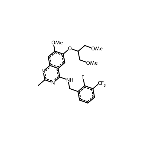 COCC(COC)Oc1cc2c(NCc3cccc(C(F)(F)F)c3F)nc(C)nc2cc1OC